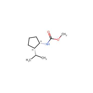 COC(=O)N[C@H]1CCC[C@H]1C(C)C